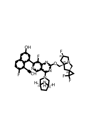 C#Cc1c(F)ccc2cc(O)cc(-c3ncc4c(N5C[C@H]6CC[C@@H](C5)N6)nc(OC[C@@]56C[C@@H](F)CN5C[C@]5(CC5(F)F)C6)nc4c3F)c12